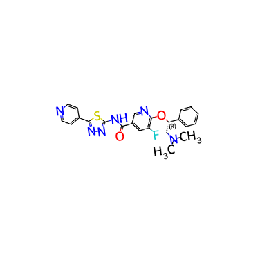 CN(C)C[C@H](Oc1ncc(C(=O)Nc2nnc(-c3ccncc3)s2)cc1F)c1ccccc1